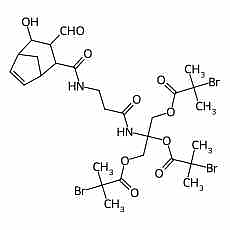 CC(C)(Br)C(=O)OCC(COC(=O)C(C)(C)Br)(NC(=O)CCNC(=O)C1C2C=CC(C2)C(O)C1C=O)OC(=O)C(C)(C)Br